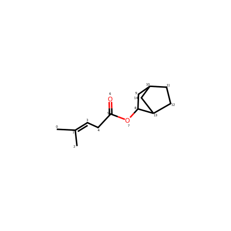 CC(C)=CCC(=O)OC1CC2CCC1C2